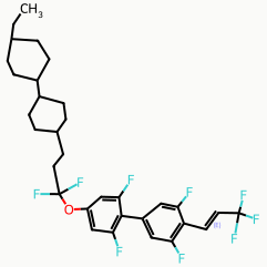 CCC1CCC(C2CCC(CCC(F)(F)Oc3cc(F)c(-c4cc(F)c(/C=C/C(F)(F)F)c(F)c4)c(F)c3)CC2)CC1